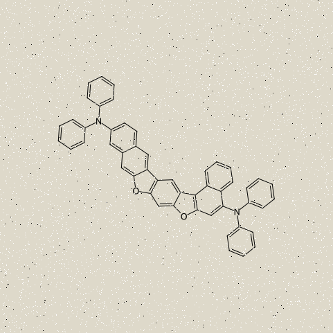 c1ccc(N(c2ccccc2)c2ccc3cc4c(cc3c2)oc2cc3oc5cc(N(c6ccccc6)c6ccccc6)c6ccccc6c5c3cc24)cc1